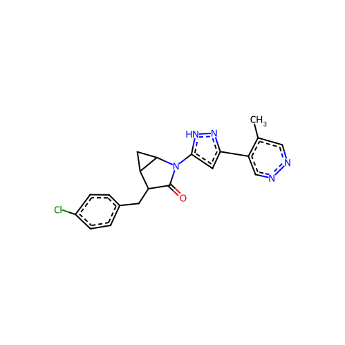 Cc1cnncc1-c1cc(N2C(=O)C(Cc3ccc(Cl)cc3)C3CC32)[nH]n1